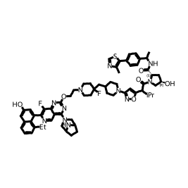 CCc1cccc2cc(O)cc(-c3ncc4c(N5CC6CCC(C5)N6)nc(OCCN5CCC(F)(CC6CCN(c7cc(C(C(=O)N8C[C@H](O)C[C@H]8C(=O)NC(C)c8ccc(-c9scnc9C)cc8)C(C)C)on7)CC6)CC5)nc4c3F)c12